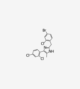 Cc1[nH]c(Cc2ccc(Br)cc2Cl)nc1-c1ccc(Cl)cc1Cl